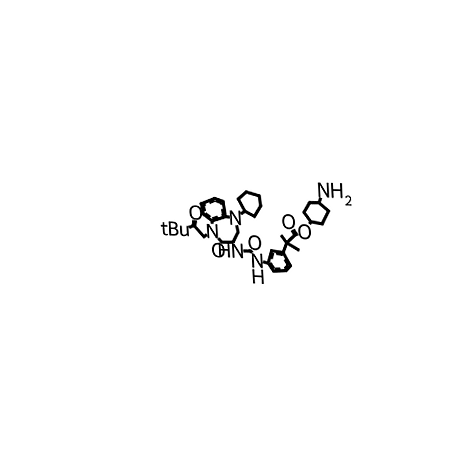 CC(C)(C)C(=O)CN1C(=O)C(NC(=O)Nc2cccc(C(C)(C)C(=O)OC3CCC(N)CC3)c2)CN(C2CCCCC2)c2ccccc21